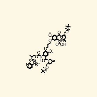 C=C1C[C@@H](CO[Si](C)(C)C(C)(C)C)N(C(=O)c2cc(OC)c(OCCCOc3cc(NC(=O)OCC(C)SSc4ncccc4[N+](=O)[O-])c(C(=O)N4CC(=C)C[C@H]4CO[Si](C)(C)C(C)(C)C)cc3OC)cc2NC(=O)O)C1